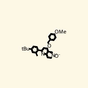 COc1ccc(COc2cc(-c3ccc(C(C)(C)C)cc3C)nc3cc[n+]([O-])cc23)cc1